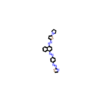 c1ccc2c(/N=N/c3ccc(N4CCCC4)s3)ccc(/N=N/c3ccc(/N=N/c4nccs4)cc3)c2c1